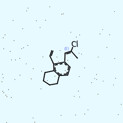 C=Cc1c(/C=C(\C)Cl)ccc2c1CCCC2